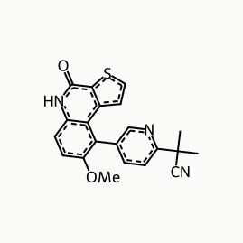 COc1ccc2[nH]c(=O)c3sccc3c2c1-c1ccc(C(C)(C)C#N)nc1